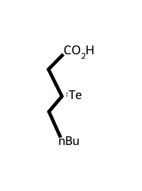 CCCCCCCC(=O)O.[Te]